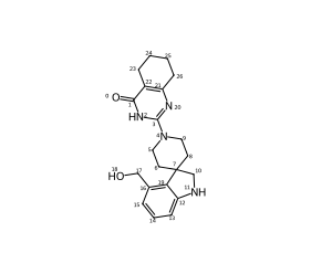 O=c1[nH]c(N2CCC3(CC2)CNc2cccc(CO)c23)nc2c1CCCC2